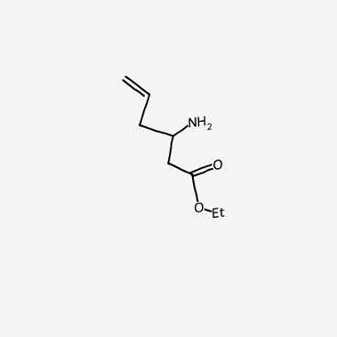 C=CCC(N)CC(=O)OCC